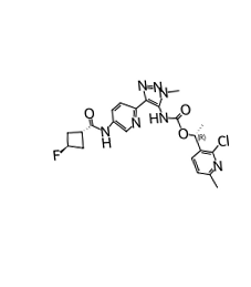 Cc1ccc([C@@H](C)OC(=O)Nc2c(-c3ccc(NC(=O)[C@H]4C[C@H](F)C4)cn3)nnn2C)c(Cl)n1